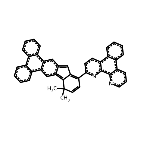 CC1(C)C=CC(c2ccc3c4ccccc4c4cccnc4c3n2)=C2C=c3cc4c5ccccc5c5ccccc5c4cc3=C21